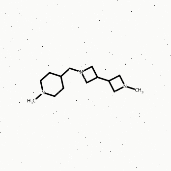 CN1CCC(CN2CC(C3CN(C)C3)C2)CC1